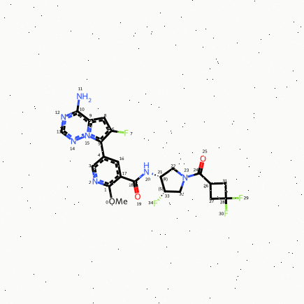 COc1ncc(-c2c(F)cc3c(N)ncnn23)cc1C(=O)N[C@@H]1CN(C(=O)C2CC(F)(F)C2)C[C@@H]1F